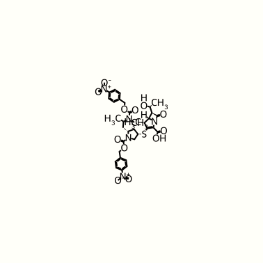 CC(C[C@@H]1C[C@H](SC2=C(C(=O)O)N3C(=O)[C@H]([C@@H](C)O)[C@H]3[C@H]2C)CN1C(=O)OCc1ccc([N+](=O)[O-])cc1)N(C)C(=O)OCc1ccc([N+](=O)[O-])cc1